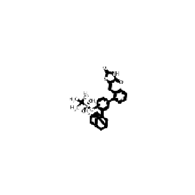 CC(C)(C)[Si](C)(C)Oc1ccc(-c2ccccc2C=C2SC(=O)NC2=O)cc1C12CC3CC(CC(C3)C1)C2